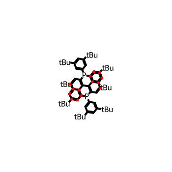 CC(C)(C)c1cc(P(c2cc(C(C)(C)C)cc(C(C)(C)C)c2)c2ccc3ccccc3c2-c2c(P(c3cc(C(C)(C)C)cc(C(C)(C)C)c3)c3cc(C(C)(C)C)cc(C(C)(C)C)c3)ccc3ccccc23)cc(C(C)(C)C)c1